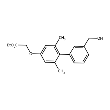 CCOC(=O)COc1cc(C)c(-c2cccc(CO)c2)c(C)c1